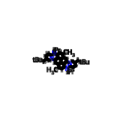 Cc1cc(N(c2ccc(CC(C)(C)C)cn2)C(C)C)c2ccc3c(C)cc(N(c4ccc(CC(C)(C)C)cn4)C(C)C)c4ccc1c2c34